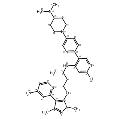 Cc1nn(C)c(OCC[C@H](C)Nc2cc(Cl)ncc2-c2ccc(N3CCC(N(C)C)CC3)cn2)c1-c1nccc(N)n1